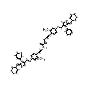 Cc1cc(OCc2nnc(SC3C=CCCC3)n2-c2cccnc2)ccc1C#CCNC(=O)NC#Cc1ccc(OCc2nnc(SC3C=CCCC3)n2-c2cccnc2)cc1C